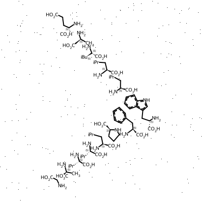 CC(C)C[C@H](N)C(=O)O.CC(C)C[C@H](N)C(=O)O.CC(C)C[C@H](N)C(=O)O.CC(C)[C@H](N)C(=O)O.CC(C)[C@H](N)C(=O)O.CC[C@H](C)[C@H](N)C(=O)O.C[C@H](N)C(=O)O.C[C@H](N)C(=O)O.NCC(=O)O.N[C@@H](CCC(=O)O)C(=O)O.N[C@@H](Cc1c[nH]c2ccccc12)C(=O)O.N[C@@H](Cc1ccccc1)C(=O)O.O=C(O)[C@@H]1CCCN1